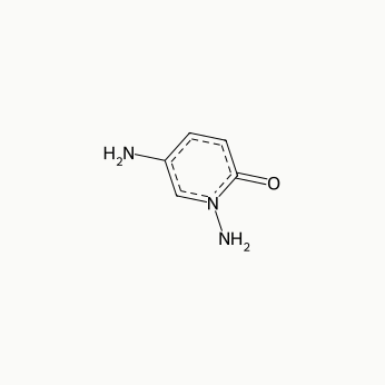 Nc1ccc(=O)n(N)c1